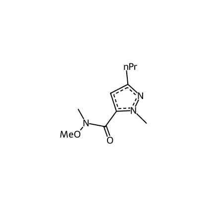 CCCc1cc(C(=O)N(C)OC)n(C)n1